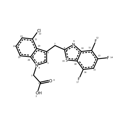 O=C(O)Cn1cc(Cc2nc3c(F)c(F)cc(F)c3s2)c2c(Cl)cccc21